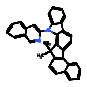 CC1(C)c2ccc3ccccc3c2-c2ccc3c4ccccc4n(-c4cc5ccccc5cn4)c3c21